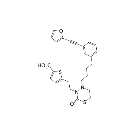 O=C(O)c1ccc(CCN2C(=O)SCCN2CCCCc2cccc(C#Cc3ccco3)c2)s1